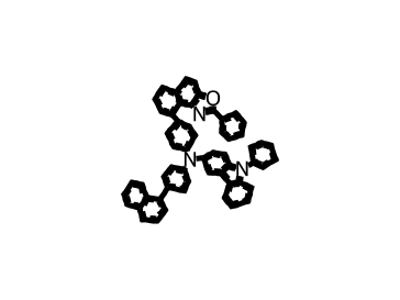 c1ccc(-c2nc3c(ccc4cccc(-c5ccc(N(c6ccc(-c7cccc8ccccc78)cc6)c6ccc7c(c6)c6ccccc6n7-c6ccccc6)cc5)c43)o2)cc1